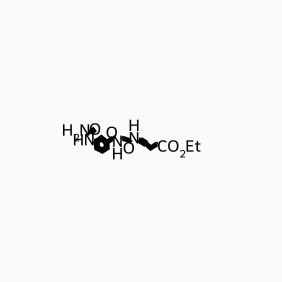 CCOC(=O)CCC#CNC(=O)CNC(=O)c1cccc(NC(N)=O)c1